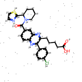 O=C(O)CCCCc1nc2cc(C(=O)N3CCCCC3c3nccs3)ccc2nc1-c1ccc(Cl)cc1